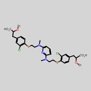 CCOC(Cc1ccc(SCCN(C)c2cccc(N(C)CCSc3ccc(CC(OCC)C(=O)O)cc3Cl)n2)c(Cl)c1)C(=O)O